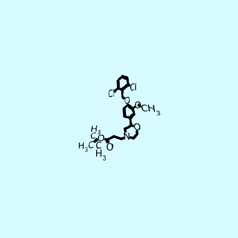 COc1cc(C2CN(CCC(=O)OC(C)(C)C)CCO2)ccc1OCc1c(Cl)cccc1Cl